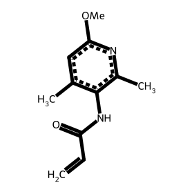 C=CC(=O)Nc1c(C)cc(OC)nc1C